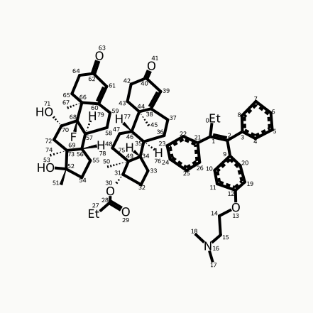 CC/C(=C(\c1ccccc1)c1ccc(OCCN(C)C)cc1)c1ccccc1.CCC(=O)O[C@H]1CC[C@H]2[C@@H]3CCC4=CC(=O)CC[C@]4(C)[C@H]3CC[C@]12C.C[C@]1(O)CC[C@H]2[C@@H]3CCC4=CC(=O)CC[C@]4(C)[C@@]3(F)[C@@H](O)C[C@@]21C